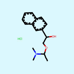 CC(OCC(O)c1ccc2ccccc2c1)N(C)C.Cl